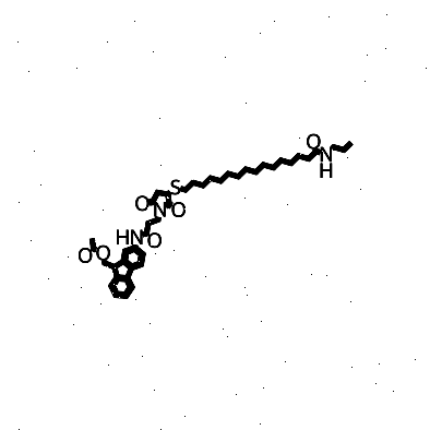 CCCNC(=O)CCCCCCCCCCCCCCCSC1CC(=O)N(CCC(=O)Nc2ccc3c(c2)C(COC(C)=O)c2ccccc2-3)C1=O